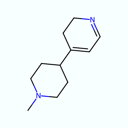 CN1CCC(C2=CC=NCC2)CC1